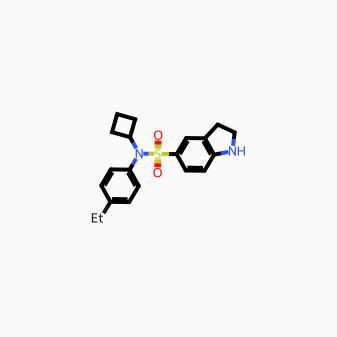 CCc1ccc(N(C2CCC2)S(=O)(=O)c2ccc3c(c2)CCN3)cc1